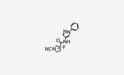 N#CN1CC[C@](F)(C(=O)Nc2cnn(-c3ccccc3)c2)C1